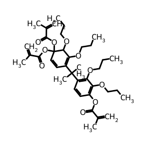 C=C(C)C(=O)Oc1ccc(C(C)(C)C2=C(OCCC)C(OCCC)C(OC(=O)C(=C)C)(OC(=O)C(=C)C)C=C2)c(OCCC)c1OCCC